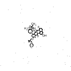 C#Cc1c(F)ccc2cc(O)cc(-c3ncc4c(N5CCC[C@@](C)(O)[C@H](NC(=O)C=C)C5)nc(OCC5(CN6CCOCC6)CC5)nc4c3F)c12